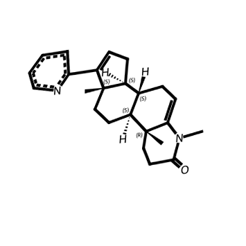 CN1C(=O)CC[C@@]2(C)C1=CC[C@@H]1[C@@H]2CC[C@]2(C)C(c3ccccn3)=CC[C@@H]12